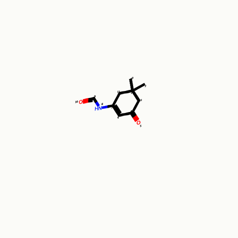 CC1(C)CC(=O)C=C(NC=O)C1